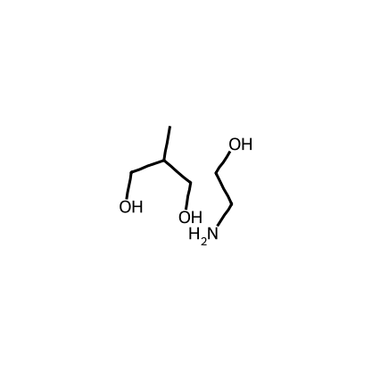 CC(CO)CO.NCCO